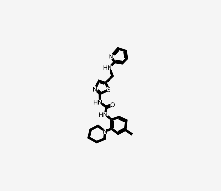 Cc1ccc(NC(=O)Nc2ncc(CNc3ccccn3)s2)c(N2CCCCC2)c1